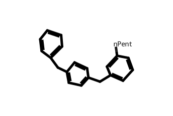 CCCCCc1cccc(Cc2ccc(Cc3ccccc3)cc2)c1